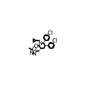 Cc1nnc(C[C@H]2C[C@H](c3cccc(Cl)c3)[C@@H](c3ccc(Cl)cc3)N(CC3CC3)C2=O)o1